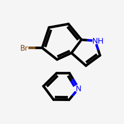 Brc1ccc2[nH]ccc2c1.c1ccncc1